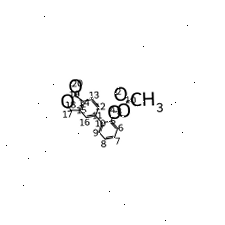 CC(=O)OOc1ccccc1-c1ccc2c(c1)COC2=O